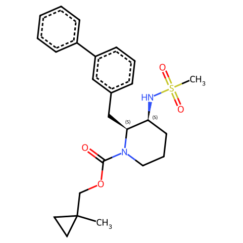 CC1(COC(=O)N2CCC[C@H](NS(C)(=O)=O)[C@@H]2Cc2cccc(-c3ccccc3)c2)CC1